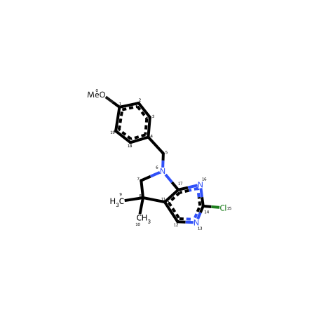 COc1ccc(CN2CC(C)(C)c3cnc(Cl)nc32)cc1